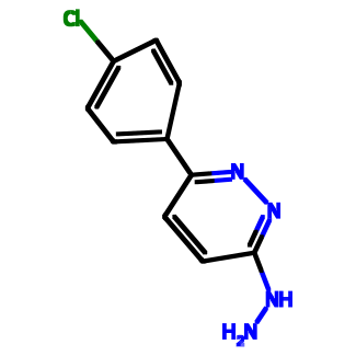 NNc1ccc(-c2ccc(Cl)cc2)nn1